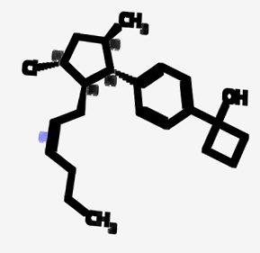 CCC/C=C\C[C@@H]1[C@@H](c2ccc(C3(O)CCC3)cc2)[C@H](C)C[C@H]1Cl